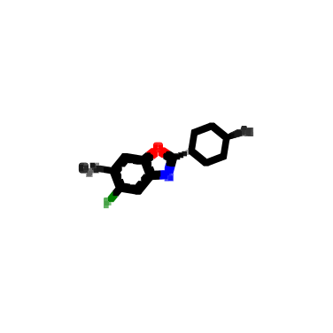 CC(=O)[C@H]1CC[C@H](c2nc3cc(F)c([N+](=O)[O-])cc3o2)CC1